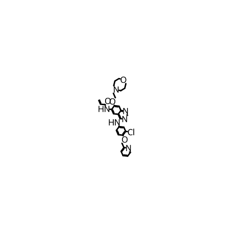 C=CC(=O)Nc1cc2c(Nc3ccc(OCc4ccccn4)c(Cl)c3)ncnc2cc1OCCN1CCCOCCC1